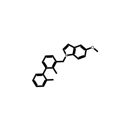 COc1ccc2c(ccn2Cc2cccc(-c3ccccc3C)c2C)c1